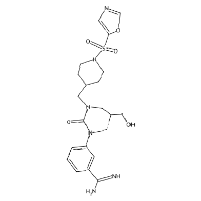 N=C(N)c1cccc(N2CC(CO)CN(CC3CCN(S(=O)(=O)c4cnco4)CC3)C2=O)c1